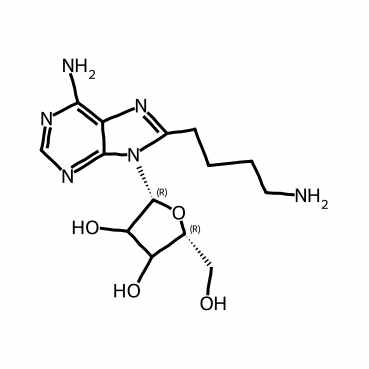 NCCCCc1nc2c(N)ncnc2n1[C@@H]1O[C@H](CO)C(O)C1O